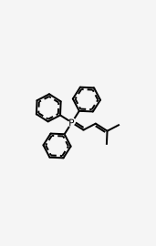 CC(C)=CC=P(c1ccccc1)(c1ccccc1)c1ccccc1